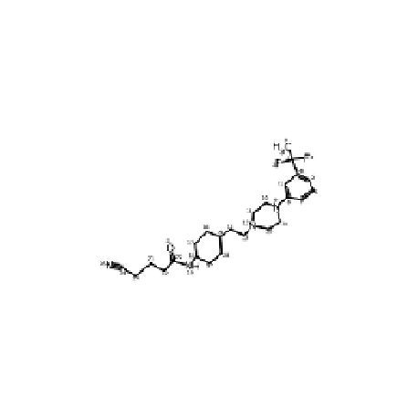 CC(F)(F)c1cccc(N2CCN(CCC3CCC(NC(=O)CCCC#N)CC3)CC2)c1